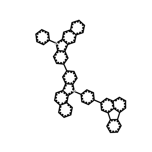 c1ccc(-n2c3ccc(-c4ccc5c(c4)c4ccc6ccccc6c4n5-c4ccc(-c5cc6c7c(cccc7c5)-c5ccccc5-6)cc4)cc3c3cc4ccccc4cc32)cc1